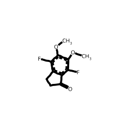 COc1c(F)c2c(c(F)c1OC)C(=O)CC2